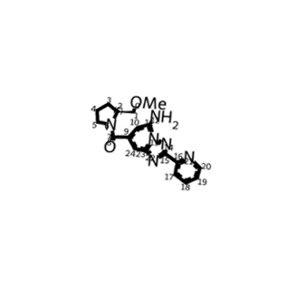 COC[C@@H]1CCCN1C(=O)c1cc(N)n2nc(-c3ccccn3)nc2c1